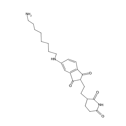 NCCCCCCCCNc1ccc2c(c1)C(=O)C(CCC1CCC(=O)NC1=O)C2=O